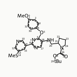 COc1ccc(Oc2nc(-c3cncc(SC)c3)ncc2NCC2CCCN2C(=O)OC(C)(C)C)cc1